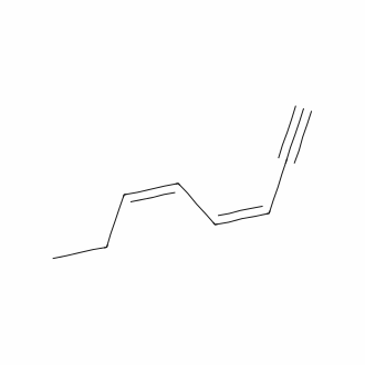 C#C/C=C\C=C/CC